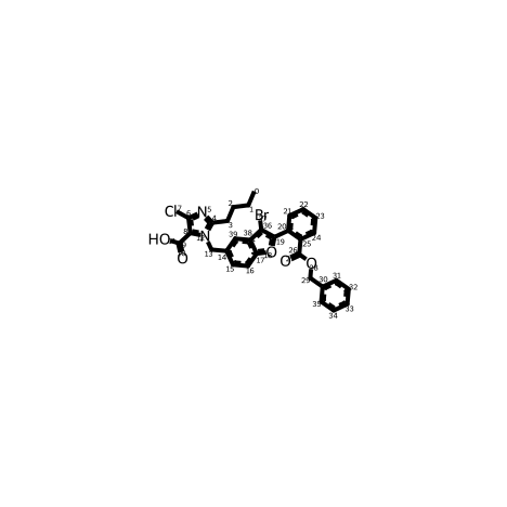 CCCCc1nc(Cl)c(C(=O)O)n1Cc1ccc2oc(-c3ccccc3C(=O)OCc3ccccc3)c(Br)c2c1